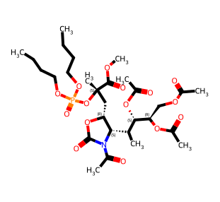 CCCCOP(=O)(OCCCC)O[C@@](C)(C[C@H]1OC(=O)N(C(C)=O)[C@H]1C(C)[C@H](OC(C)=O)[C@@H](COC(C)=O)OC(C)=O)C(=O)OC